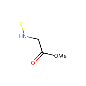 COC(=O)CN[S]